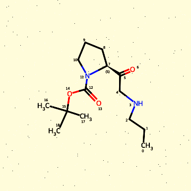 CCCNCC(=O)[C@@H]1CCCN1C(=O)OC(C)(C)C